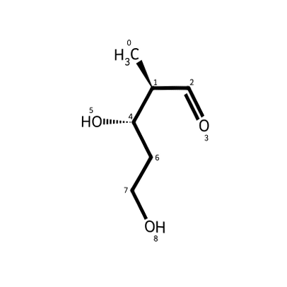 C[C@@H](C=O)[C@@H](O)CCO